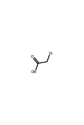 CCCC(=O)N=O